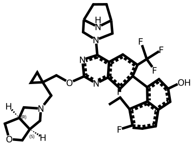 CCc1c(F)ccc2cc(O)cc(-c3c(C(F)(F)F)cc4c(N5CC6CCC(C5)N6)nc(OCC5(CN6C[C@H]7COC[C@H]7C6)CC5)nc4c3F)c12